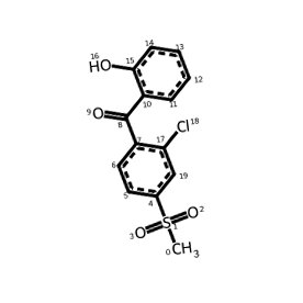 CS(=O)(=O)c1ccc(C(=O)c2ccccc2O)c(Cl)c1